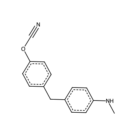 CNc1ccc(Cc2ccc(OC#N)cc2)cc1